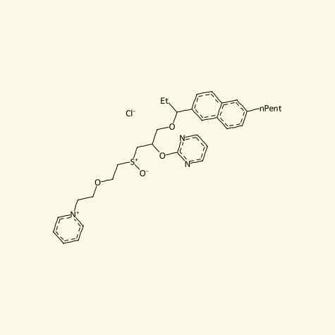 CCCCCc1ccc2cc(C(CC)OCC(C[S+]([O-])CCOCC[n+]3ccccc3)Oc3ncccn3)ccc2c1.[Cl-]